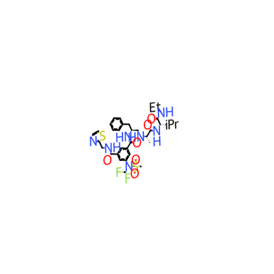 CCNC(=O)[C@@H](NC(=O)[C@H](C)NC[C@H](Cc1ccccc1)NC(=O)c1cc(C(=O)NCc2nccs2)cc(N(C(F)F)S(C)(=O)=O)c1)C(C)C